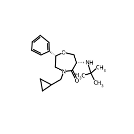 CC(C)(C)N[C@H]1CO[C@@H](c2ccccc2)CN(CC2CC2)C1=O